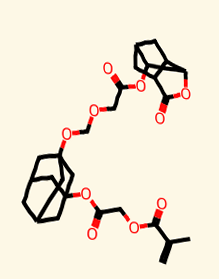 C=C(C)C(=O)OCC(=O)OC12CC3CC(CC(OCOCC(=O)OC4C5CC6C(=O)OC4C6C5)(C3)C1)C2